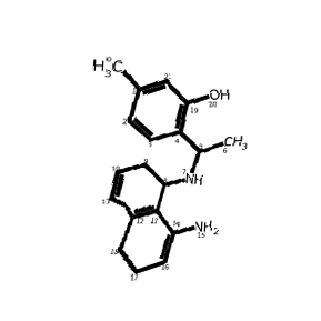 Cc1ccc(C(C)NC2CC=CC3=C2C(N)=CCC3)c(O)c1